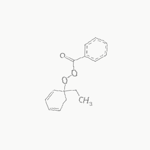 CCC1(OOC(=O)c2ccccc2)C=CC=CC1